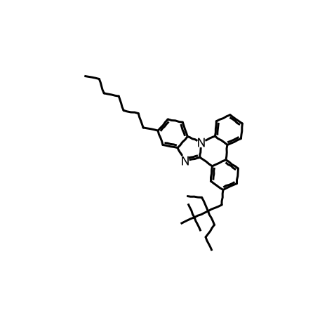 CCCCCCCc1ccc2c(c1)nc1c3cc(CC(CC)(CCC)C(C)(C)C)ccc3c3ccccc3n21